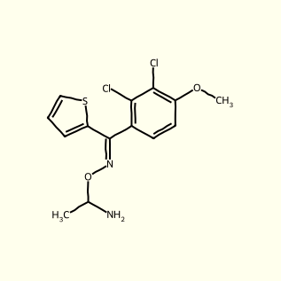 COc1ccc(C(=NOC(C)N)c2cccs2)c(Cl)c1Cl